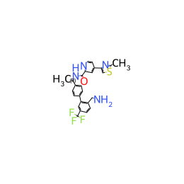 Cc1nc(-c2ccnc(C(=O)N[C@H](C)c3ccc(-c4cc(C(F)(F)F)ccc4CN)cc3)c2)cs1